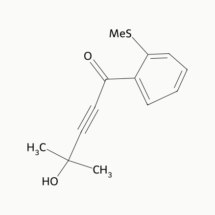 CSc1ccccc1C(=O)C#CC(C)(C)O